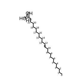 CCCCCCCCCCCCCCCCCCCCCCC[SiH](O)O